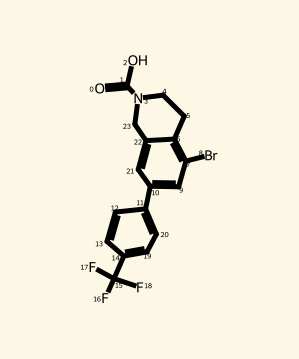 O=C(O)N1CCc2c(Br)cc(-c3ccc(C(F)(F)F)cc3)cc2C1